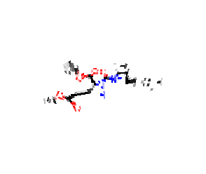 C[C@H](CCC(=O)O)NC(=O)N[C@@H](CCC(=O)OC(C)(C)C)C(=O)OC(C)(C)C